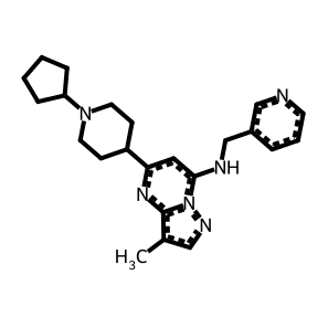 Cc1cnn2c(NCc3cccnc3)cc(C3CCN(C4CCCC4)CC3)nc12